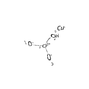 [Cu].[O-][Cl+2]([O-])O